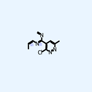 C=N/C(=N\C=C/C)c1cc(C)nnc1Cl